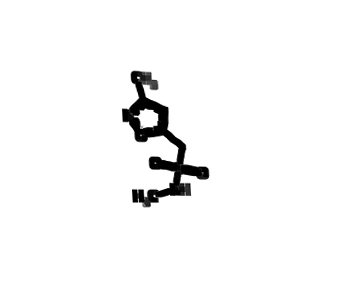 CNS(=O)(=O)Cc1cc(C)no1